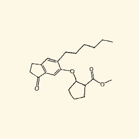 CCCCCCc1cc2c(cc1OC1CCCC1C(=O)OC)C(=O)CC2